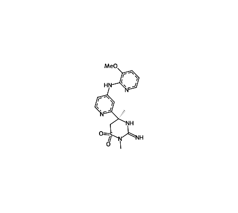 COc1cccnc1Nc1ccnc([C@]2(C)CS(=O)(=O)N(C)C(=N)N2)c1